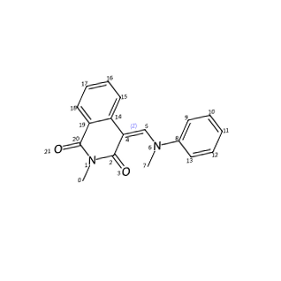 CN1C(=O)/C(=C\N(C)c2ccccc2)c2ccccc2C1=O